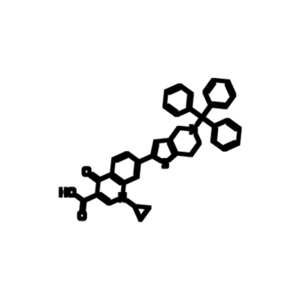 O=C(O)c1cn(C2CC2)c2cc(-c3cc4c(s3)CCN(C(c3ccccc3)(c3ccccc3)c3ccccc3)C4)ccc2c1=O